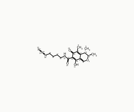 CC1=C2C(=CO[C@H](C)[C@H]2C)C(O)=C(C(=O)NCCCCN=[N+]=[N-])C1=O